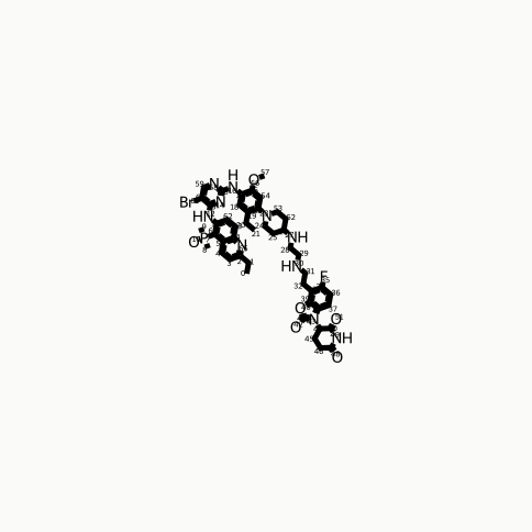 CCc1ccc2c(P(C)(C)=O)c(Nc3nc(Nc4cc(CC)c(N5CCC(NCCNCCc6c(F)ccc7c6oc(=O)n7C6CCC(=O)NC6=O)CC5)cc4OC)ncc3Br)ccc2n1